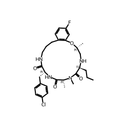 CCC[C@@H]1NC[C@@H](C)Oc2cc(F)ccc2CCCNC(=O)[C@@H](Cc2ccc(Cl)cc2)NC(=O)[C@@H](C)N(C)C1=O